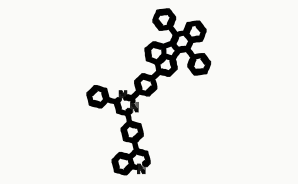 c1ccc(-c2cc(-c3ccc(-c4ccnc5ccccc45)cc3)nc(-c3ccc(-c4ccc5c6c(cccc46)-c4c-5c(-c5ccccc5)c5ccccc5c4-c4ccccc4)cc3)n2)cc1